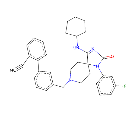 C#Cc1ccccc1-c1cccc(CN2CCC3(CC2)C(NC2CCCCC2)=NC(=O)N3c2cccc(F)c2)c1